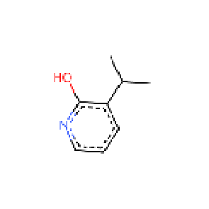 [CH2]C(C)c1cccnc1O